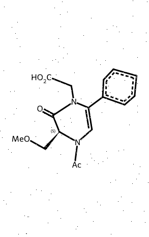 COC[C@H]1C(=O)N(CC(=O)O)C(c2ccccc2)=CN1C(C)=O